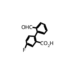 O=Cc1ccccc1-c1ccc(F)cc1C(=O)O